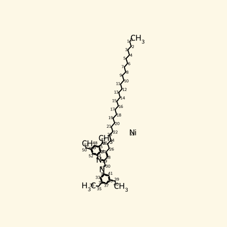 CCCCCCCCCCCCCCCCCCCCCCCCCCCC=CC(C=Nc1cc(CC)cc(CC)c1)=Nc1cc(CC)cc(CC)c1.[Ni]